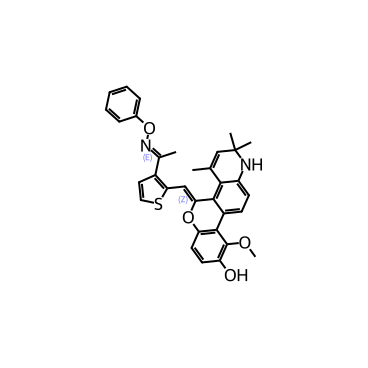 COc1c(O)ccc2c1-c1ccc3c(c1/C(=C/c1sccc1/C(C)=N/Oc1ccccc1)O2)C(C)=CC(C)(C)N3